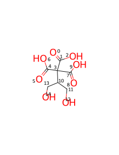 O=C(O)C(C(=O)O)(C(=O)O)C(CO)CO